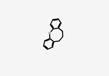 c1ccc2c(c1)CCCc1ccccc1O2